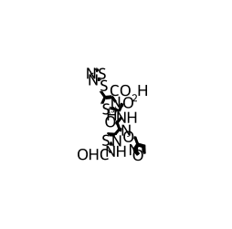 O=CNc1nc(C(=NOCc2ccon2)C(=O)NC2C(=O)N3C(C(=O)O)=C(CSc4nncs4)CS[C@@H]23)cs1